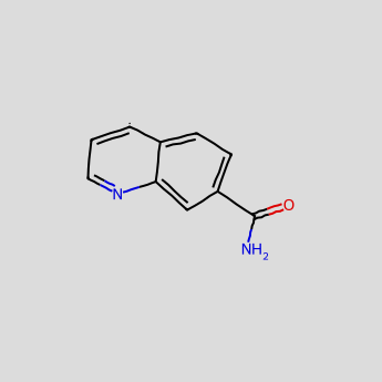 NC(=O)c1ccc2[c]ccnc2c1